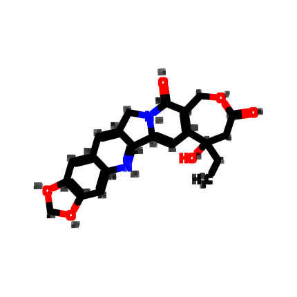 CCC1(O)CC(=O)OCc2c1cc1n(c2=O)Cc2cc3cc4c(cc3nc2-1)OCO4